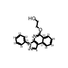 OCCOc1nc2c(cnn2-c2ccccc2)c2ccccc12